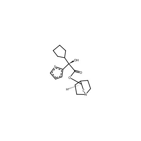 O=C(O[C@@H]1CN2CCC1CC2)[C@](O)(c1cccs1)C1CCCC1